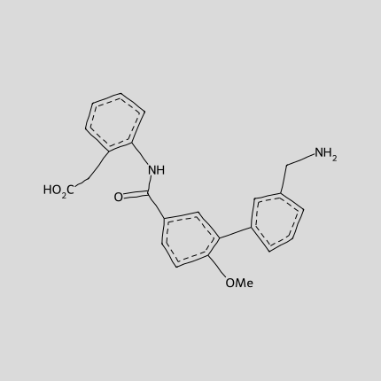 COc1ccc(C(=O)Nc2ccccc2CC(=O)O)cc1-c1cccc(CN)c1